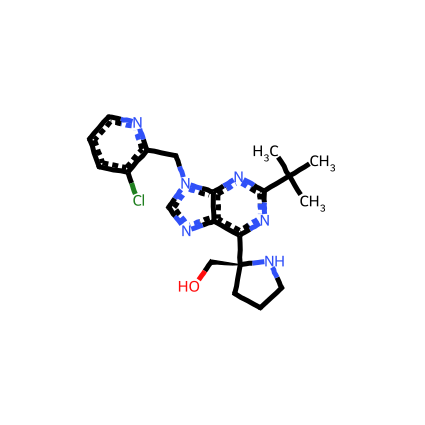 CC(C)(C)c1nc([C@@]2(CO)CCCN2)c2ncn(Cc3ncccc3Cl)c2n1